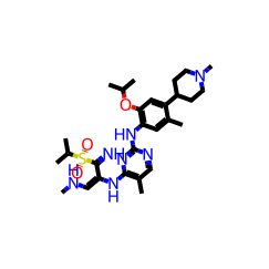 CN/C=C(/Nc1nc(Nc2cc(C)c(C3CCN(C)CC3)cc2OC(C)C)ncc1C)C(=N)S(=O)(=O)C(C)C